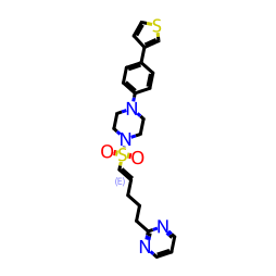 O=S(=O)(/C=C/CCCc1ncccn1)N1CCN(c2ccc(-c3ccsc3)cc2)CC1